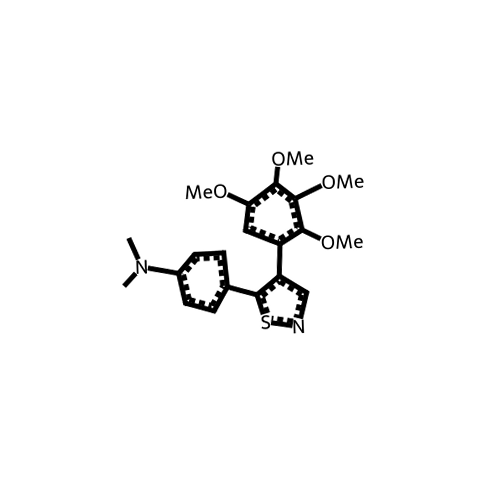 COc1cc(-c2cnsc2-c2ccc(N(C)C)cc2)c(OC)c(OC)c1OC